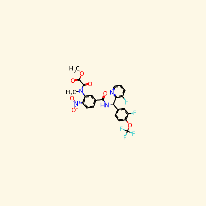 COC(=O)C(=O)N(C)c1cc(C(=O)N[C@@H](c2ccc(OC(F)(F)F)c(F)c2)c2ncccc2F)ccc1[N+](=O)[O-]